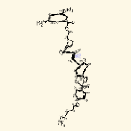 Nc1cc(N)cc(C(=O)OCCOC(=O)/C=C/c2ccc(OC(F)(F)c3ccc(OCCCCCC(F)(F)F)cc3)cc2)c1